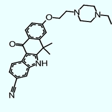 CCN1CCN(CCOc2ccc3c(c2)C(C)(C)c2[nH]c4cc(C#N)ccc4c2C3=O)CC1